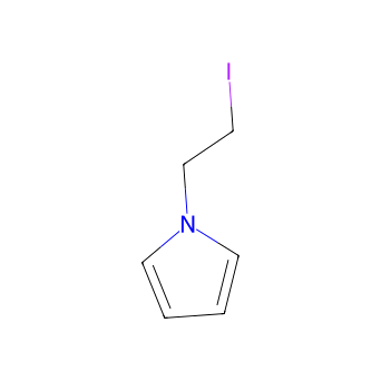 ICCn1cccc1